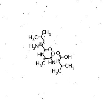 CC(C)C[C@H](N)C(=O)N[C@@H](C)C(=O)N[C@H](C(=O)O)C(C)C